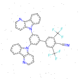 N#Cc1c(C(F)(F)F)cc(-c2cc(-n3c4ccccc4c4ncccc43)cc(-n3c4ccccc4c4ncccc43)c2)cc1C(F)(F)F